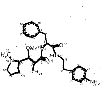 COC(C(C)C(=O)NC(Cc1ccccc1)C(=O)NCCc1ccc(N)cc1)C1CCCN1C